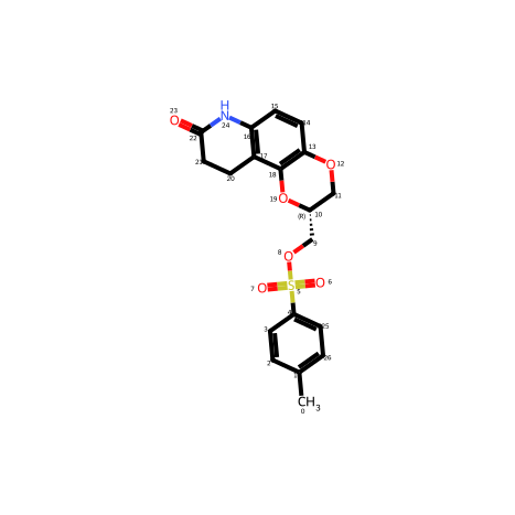 Cc1ccc(S(=O)(=O)OC[C@H]2COc3ccc4c(c3O2)CCC(=O)N4)cc1